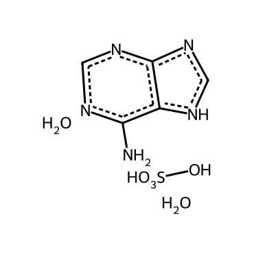 Nc1ncnc2nc[nH]c12.O.O.O=S(=O)(O)O